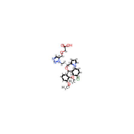 COc1cccc([C@H]2O[C@H](CCn3nncc3COCC(=O)O)c3cccn3-c3ccc(Cl)cc32)c1OC